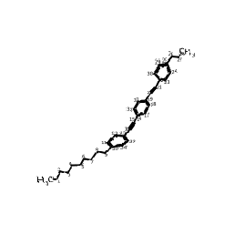 CCCCCCCCCCc1ccc(C#Cc2ccc(C#Cc3ccc(CCC)cc3)cc2)cc1